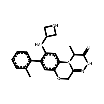 Cc1ccccc1-c1cc2c(cc1[AsH]C1CNC1)N1C(=NNC(=O)C1C)CO2